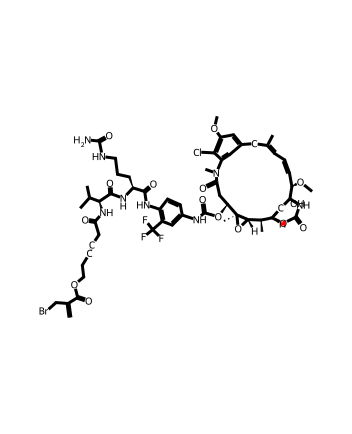 C=C(CBr)C(=O)OCCCCCC(=O)N[C@H](C(=O)N[C@@H](CCCNC(N)=O)C(=O)Nc1ccc(NC(=O)O[C@H]2CC(=O)N(C)c3cc(cc(OC)c3Cl)C/C(C)=C/C=C/[C@@H](OC)[C@@]3(O)C[C@H](OC(=O)N3)[C@@H](C)[C@@H]3O[C@@]23C)cc1C(F)(F)F)C(C)C